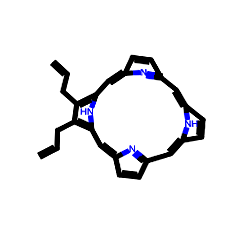 C=CCc1c(CC=C)c2cc3nc(cc4ccc(cc5nc(cc1[nH]2)C=C5)[nH]4)C=C3